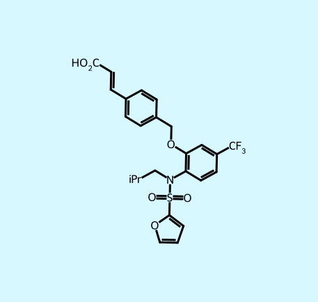 CC(C)CN(c1ccc(C(F)(F)F)cc1OCc1ccc(C=CC(=O)O)cc1)S(=O)(=O)c1ccco1